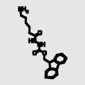 NCCCCCC(=O)NNC(=O)OCC1c2ccccc2-c2ccccc21